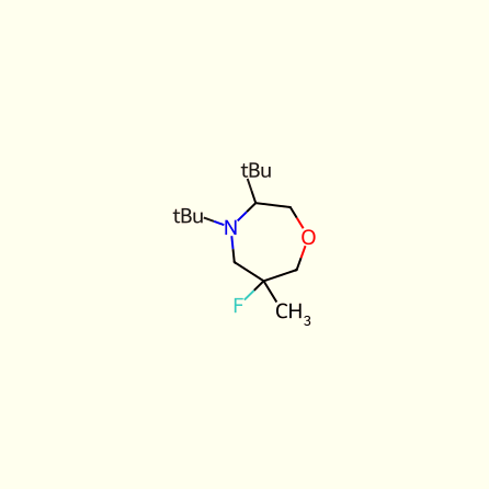 CC1(F)COCC(C(C)(C)C)N(C(C)(C)C)C1